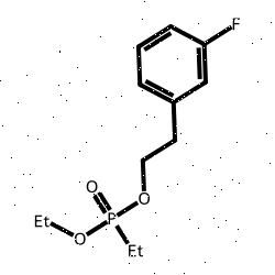 CCOP(=O)(CC)OCCc1cccc(F)c1